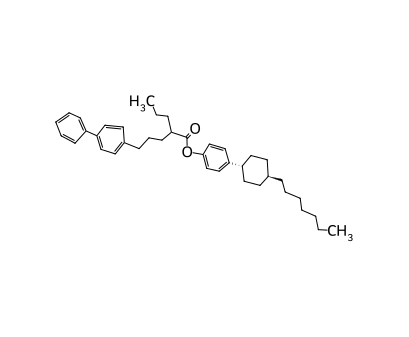 CCCCCCC[C@H]1CC[C@H](c2ccc(OC(=O)C(CCC)CCCc3ccc(-c4ccccc4)cc3)cc2)CC1